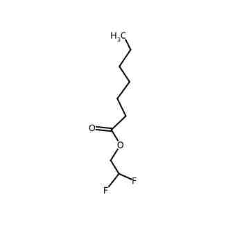 CCCCCCC(=O)OCC(F)F